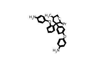 CC1CCC(C(C)C)C(c2ccc(Oc3ccc(N)cc3)cc2)(c2ccccc2Oc2ccc(N)cc2)C1